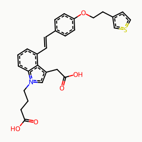 O=C(O)CCCn1cc(CC(=O)O)c2c(/C=C/c3ccc(OCCc4ccsc4)cc3)cccc21